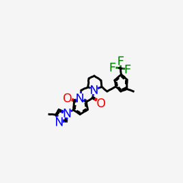 Cc1cc(CC2CCCC3Cn4c(ccc(-n5cnc(C)c5)c4=O)C(=O)N23)cc(C(F)(F)F)c1